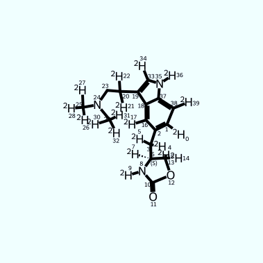 [2H]c1c(C([2H])([2H])[C@]2([2H])N([2H])C(=O)OC2([2H])[2H])c([2H])c2c(C([2H])([2H])CN(C([2H])([2H])[2H])C([2H])([2H])[2H])c([2H])n([2H])c2c1[2H]